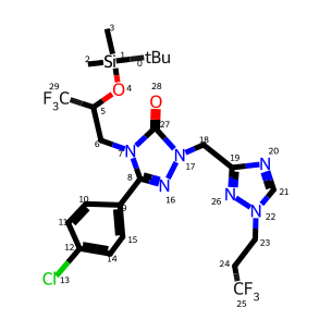 CC(C)(C)[Si](C)(C)OC(Cn1c(-c2ccc(Cl)cc2)nn(Cc2ncn(CCC(F)(F)F)n2)c1=O)C(F)(F)F